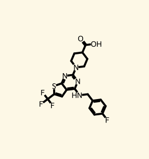 O=C(O)C1CCN(c2nc(NCc3ccc(F)cc3)c3cc(C(F)(F)F)sc3n2)CC1